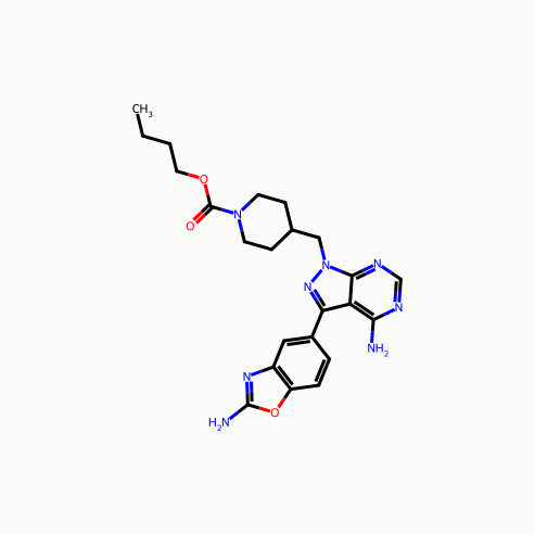 CCCCOC(=O)N1CCC(Cn2nc(-c3ccc4oc(N)nc4c3)c3c(N)ncnc32)CC1